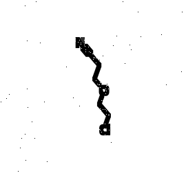 N#CCCOCCCl